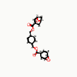 O=C(OCC1CCC(COC(=O)C2CCC3OC3C2)CC1)C1CC2CC(C1)O2